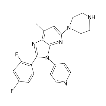 Cc1cc(N2CCNCC2)nc2c1nc(-c1ccc(F)cc1F)n2-c1ccncc1